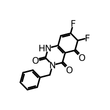 O=C1c2c([nH]c(=O)n(Cc3ccccc3)c2=O)C=C(F)C1F